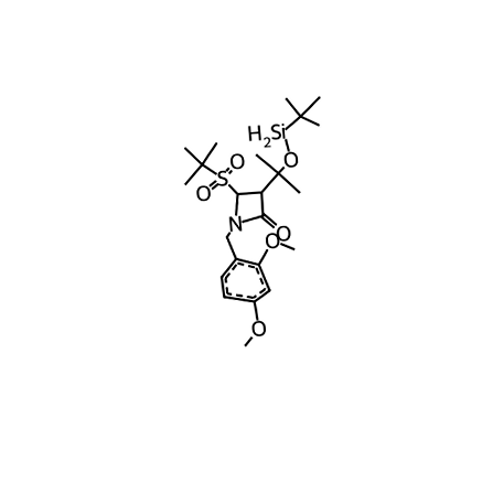 COc1ccc(CN2C(=O)C(C(C)(C)O[SiH2]C(C)(C)C)C2S(=O)(=O)C(C)(C)C)c(OC)c1